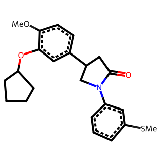 COc1ccc(C2CC(=O)N(c3cccc(SC)c3)C2)cc1OC1CCCC1